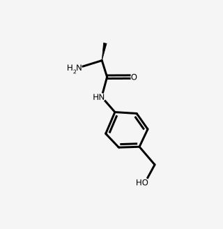 C[C@H](N)C(=O)Nc1ccc(CO)cc1